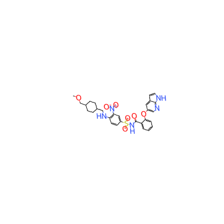 COCC1CCC(CNc2ccc(S(=O)(=O)NC(=O)c3ccccc3Oc3cnc4[nH]ccc4c3)cc2[N+](=O)[O-])CC1